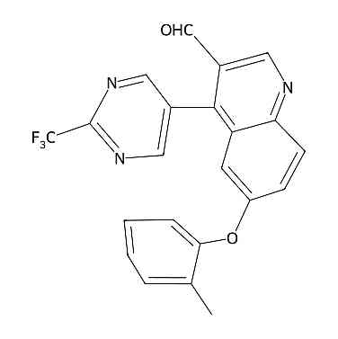 Cc1ccccc1Oc1ccc2ncc(C=O)c(-c3cnc(C(F)(F)F)nc3)c2c1